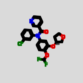 O=C(c1cccnc1)N(c1cccc(Cl)c1)c1ccc(OC(F)F)c(O[C@@H]2CCOC2)c1